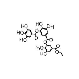 CCOC(=O)c1cc(O)c(O)c(OC(=O)c2cc(O)c(O)c(OC(=O)c3cc(O)c(O)c(O)c3)c2)c1